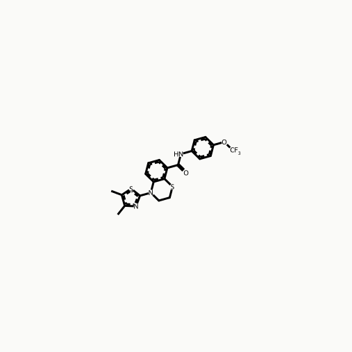 Cc1nc(N2CCSc3c(C(=O)Nc4ccc(OC(F)(F)F)cc4)cccc32)sc1C